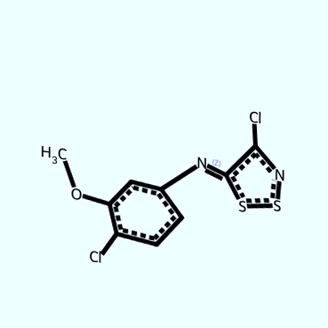 COc1cc(/N=c2\ssnc2Cl)ccc1Cl